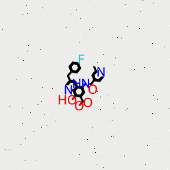 COC(=O)c1cc(NC(=O)c2ccnc(C)c2)c2cc(Cc3ccc(F)cc3)cnc2c1O